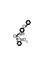 O=C(CNc1ccc(OCc2ccccc2)cc1)OSc1ccccc1[N+](=O)[O-]